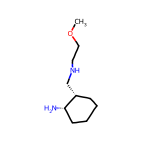 COCCNC[C@@H]1CCCC[C@@H]1N